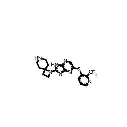 FC(F)(F)c1ncccc1Sc1cnc2[nH]c(N3CCC34CCNCC4)nc2n1